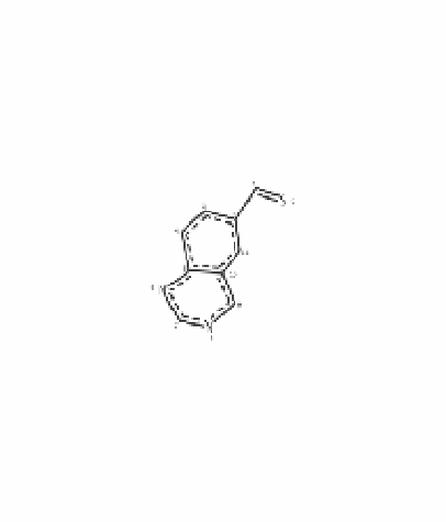 S=Cc1ccc2ncncc2c1